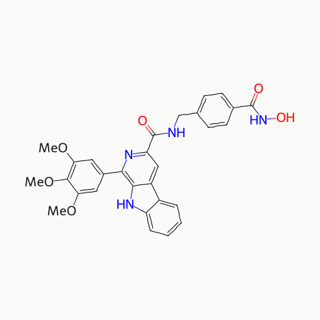 COc1cc(-c2nc(C(=O)NCc3ccc(C(=O)NO)cc3)cc3c2[nH]c2ccccc23)cc(OC)c1OC